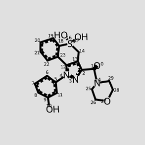 O=C(c1nn(-c2cccc(O)c2)c2c1CS(O)(O)c1ccccc1-2)N1CCOCC1